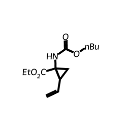 C=CC1CC1(NC(=O)OCCCC)C(=O)OCC